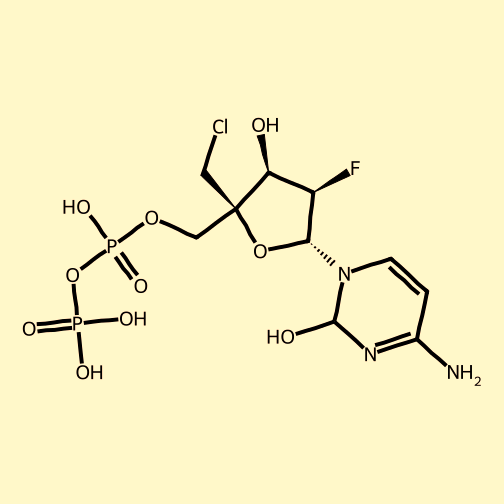 NC1=NC(O)N([C@@H]2O[C@](CCl)(COP(=O)(O)OP(=O)(O)O)[C@@H](O)[C@H]2F)C=C1